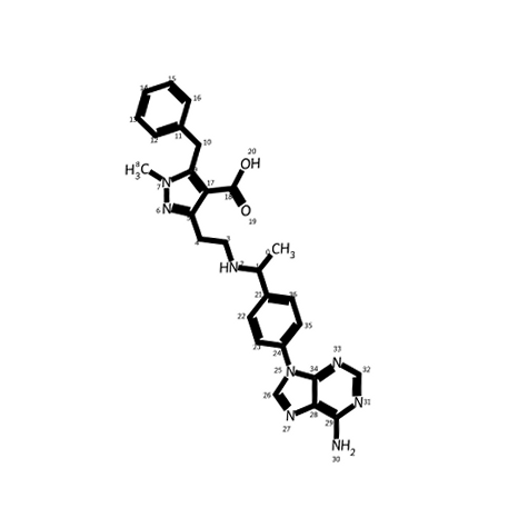 CC(NCCc1nn(C)c(Cc2ccccc2)c1C(=O)O)c1ccc(-n2cnc3c(N)ncnc32)cc1